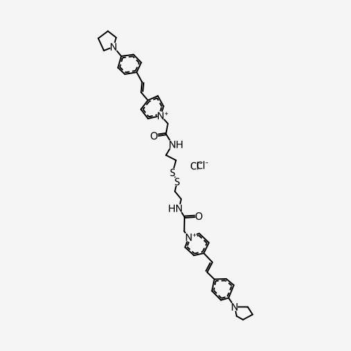 O=C(C[n+]1ccc(/C=C/c2ccc(N3CCCC3)cc2)cc1)NCCSSCCNC(=O)C[n+]1ccc(/C=C/c2ccc(N3CCCC3)cc2)cc1.[Cl-].[Cl-]